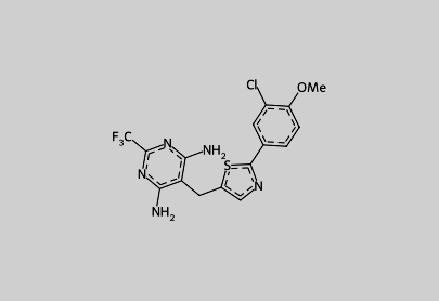 COc1ccc(-c2ncc(Cc3c(N)nc(C(F)(F)F)nc3N)s2)cc1Cl